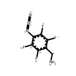 [N-]=[N+]=Nc1c(F)c(F)c(CN)c(F)c1F